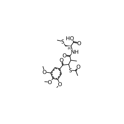 COc1cc(C(=O)C(SC(C)=O)C(C)C(=O)N[C@@H](CSC)C(=O)O)cc(OC)c1OC